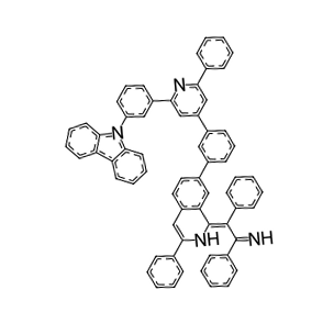 N=C(/C(=C1\NC(c2ccccc2)=Cc2ccc(-c3cccc(-c4cc(-c5ccccc5)nc(-c5cccc(-n6c7ccccc7c7ccccc76)c5)c4)c3)cc21)c1ccccc1)c1ccccc1